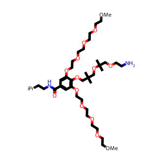 COCCOCCOCCOCCOc1cc(C(=O)NCCC(C)C)cc(OCCOCCOCCOCCOC)c1OCC(C)(C)COC(C)(C)COCCN